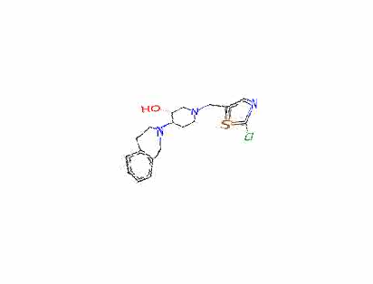 O[C@@H]1CN(Cc2cnc(Cl)s2)CC[C@H]1N1CCc2ccccc2C1